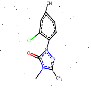 Cn1c(C(F)(F)F)nn(-c2ccc(C#N)cc2Cl)c1=O